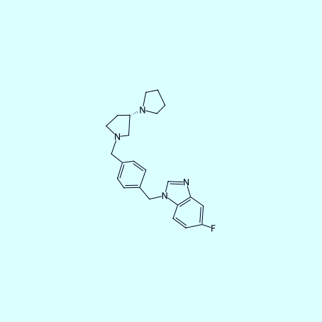 Fc1ccc2c(c1)ncn2Cc1ccc(CN2CC[C@H](N3CCCC3)C2)cc1